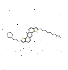 CCCCCCCCc1cc2ccc3cc4c(ccc5cc(CCCC6CCCCC6)sc54)cc3c2s1